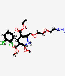 CCOC(=O)C1=C(COCCOCCN)N(C)C(OC)=C(C(=O)OC)[C@H]1c1cccc(Cl)c1Cl